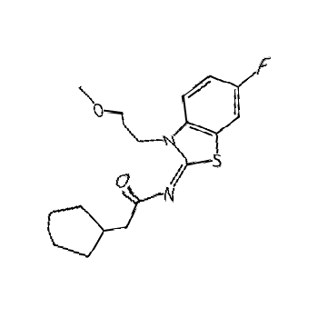 COCCn1c(=NC(=O)CC2CCCC2)sc2cc(F)ccc21